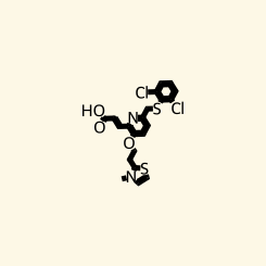 CN1C=CSC1CCOc1ccc(CSc2c(Cl)cccc2Cl)nc1C=CC(=O)O